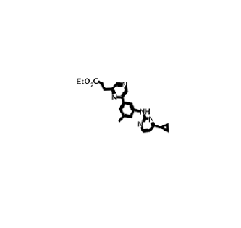 CCOC(=O)CCc1cncc(-c2cc(C)cc(Nc3nccc(C4CC4)n3)c2)n1